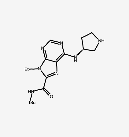 CCn1c(C(=O)NC(C)(C)C)nc2c(N[C@H]3CCNC3)ncnc21